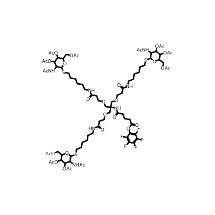 CC(=O)NC1C(SCCCCCCNC(=O)CCOCC(COCCC(=O)NCCCCCCSC2OC(COC(C)=O)C(OC(C)=O)C(OC(C)=O)C2NC(C)=O)(COCCC(=O)NCCCCCCSC2OC(COC(C)=O)C(OC(C)=O)C(OC(C)=O)C2NC(C)=O)NC(=O)CCCC(=O)Oc2c(F)c(F)c(F)c(F)c2F)OC(COC(C)=O)C(OC(C)=O)C1OC(C)=O